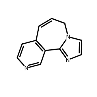 C1=Cc2ccncc2-c2nccn2C1